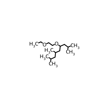 CCOCCOC(CC(C)C)CC(C)CC(C)C